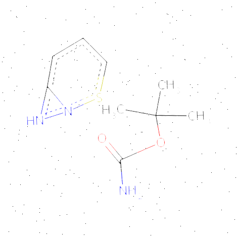 CC(C)(C)OC(N)=O.c1csn2[nH]c-2c1